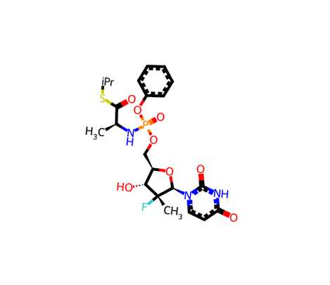 CC(C)SC(=O)[C@H](C)NP(=O)(OC[C@H]1O[C@@H](n2ccc(=O)[nH]c2=O)[C@](C)(F)[C@@H]1O)Oc1ccccc1